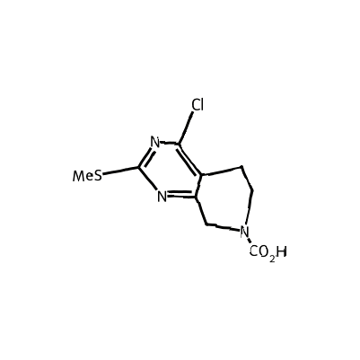 CSc1nc(Cl)c2c(n1)CN(C(=O)O)CC2